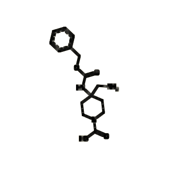 NCC1(NC(=O)OCc2ccccc2)CCN(C(=O)O)CC1